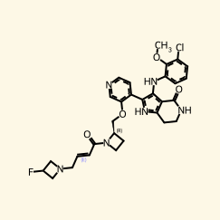 COc1c(Cl)cccc1Nc1c(-c2ccncc2OC[C@H]2CCN2C(=O)/C=C/CN2CC(F)C2)[nH]c2c1C(=O)NCC2